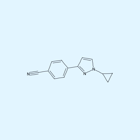 N#Cc1ccc(-c2ccn(C3CC3)n2)cc1